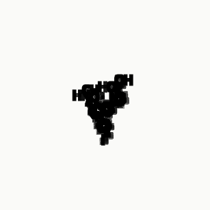 CNC(=O)CN1CCN(c2ccc(CF)cc2)c2ccc(-c3cccc([C@H](O)CO)n3)cc2C1